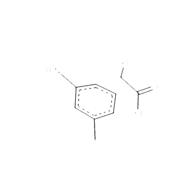 Nc1cccc(F)c1.O=C(O)CCl